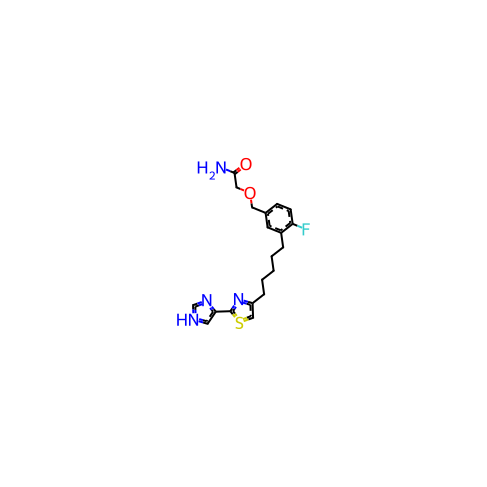 NC(=O)COCc1ccc(F)c(CCCCCc2csc(-c3c[nH]cn3)n2)c1